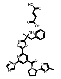 Cc1csc([C@H]2CCCN2C(=O)c2cc(-c3nnc([C@](C)(N)Cc4ccccc4)o3)nc(-n3cncn3)c2)n1.O=C(O)C=CC(=O)O